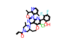 C=CC(=O)N1CC(C)N2c3nc(=O)n(-c4c(C)ccnc4C(C)C)c4nc(-c5c(O)ccc(F)c5F)c(Cl)c(c34)OCCC2C1